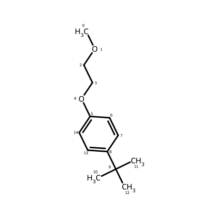 COCCOc1ccc(C(C)(C)C)cc1